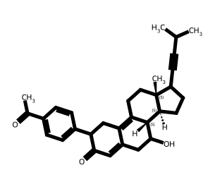 CC(=O)c1ccc(C2CC3=C4CC[C@]5(C)C(C#CC(C)C)CC[C@H]5[C@@H]4C(O)CC3=CC2=O)cc1